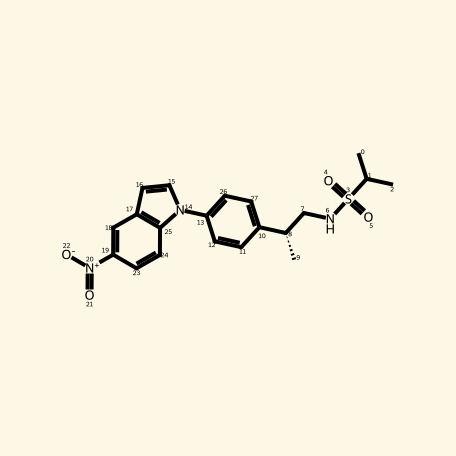 CC(C)S(=O)(=O)NC[C@H](C)c1ccc(-n2ccc3cc([N+](=O)[O-])ccc32)cc1